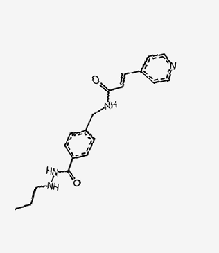 CCCNNC(=O)c1ccc(CNC(=O)C=Cc2ccncc2)cc1